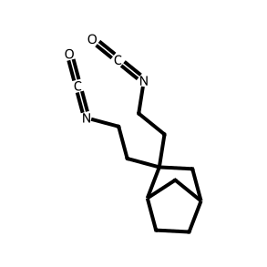 O=C=NCCC1(CCN=C=O)CC2CCC1C2